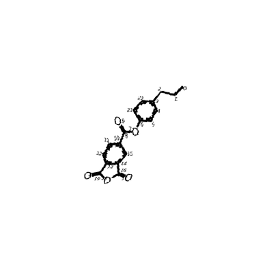 CCCc1ccc(OC(=O)c2ccc3c(c2)C(=O)OC3=O)cc1